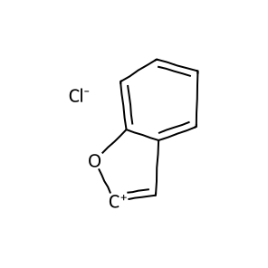 [C+]1=Cc2ccccc2O1.[Cl-]